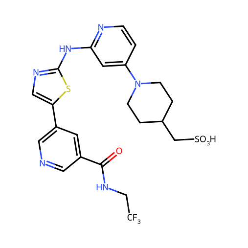 O=C(NCC(F)(F)F)c1cncc(-c2cnc(Nc3cc(N4CCC(CS(=O)(=O)O)CC4)ccn3)s2)c1